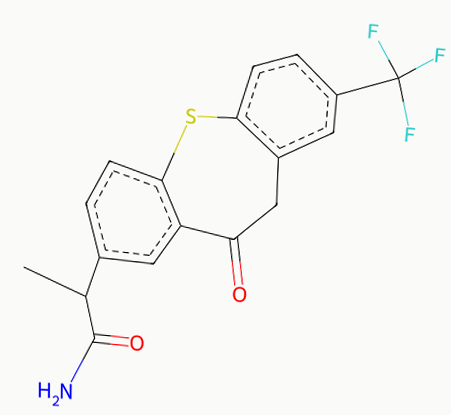 CC(C(N)=O)c1ccc2c(c1)C(=O)Cc1cc(C(F)(F)F)ccc1S2